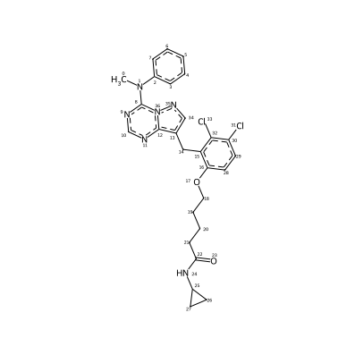 CN(c1ccccc1)c1ncnc2c(Cc3c(OCCCCC(=O)NC4CC4)ccc(Cl)c3Cl)cnn12